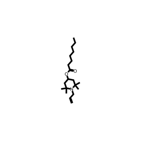 C=CCN1C(C)(C)CC(OC(=O)CCCCCCC)CC1(C)C